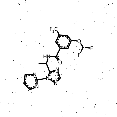 CC(NC(=O)c1cc(OC(F)F)cc(C(F)(F)F)c1)c1ncnn1-c1ncccn1